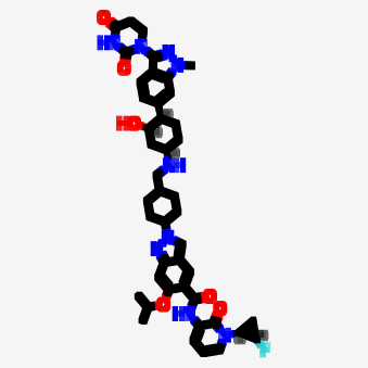 CC(C)Oc1cc2nn(C3CCC(CN[C@@H]4CC[C@H](c5ccc6c(N7CCC(=O)NC7=O)nn(C)c6c5)[C@H](O)C4)CC3)cc2cc1C(=O)Nc1cccn([C@H]2C[C@H]2F)c1=O